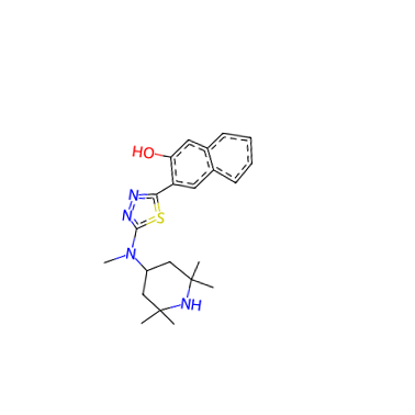 CN(c1nnc(-c2cc3ccccc3cc2O)s1)C1CC(C)(C)NC(C)(C)C1